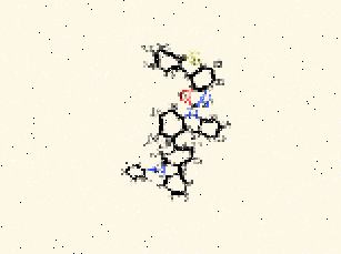 c1ccc(-n2c3ccccc3c3ccc(-c4cccc5c4c4ccccc4n5-c4nc5ccc6sc7ccccc7c6c5o4)cc32)cc1